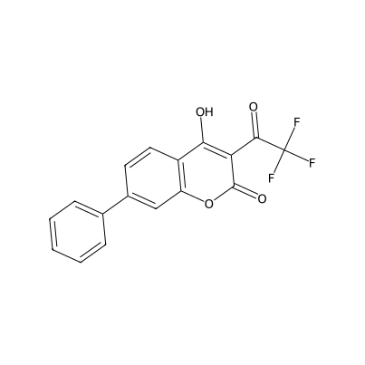 O=C(c1c(O)c2ccc(-c3ccccc3)cc2oc1=O)C(F)(F)F